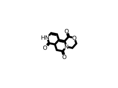 O=C1OCCN2C(=O)CC3C(=O)NC=CC3=C12